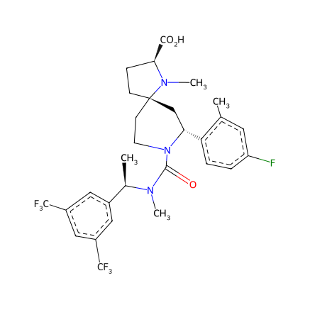 Cc1cc(F)ccc1[C@H]1C[C@]2(CC[C@@H](C(=O)O)N2C)CCN1C(=O)N(C)[C@H](C)c1cc(C(F)(F)F)cc(C(F)(F)F)c1